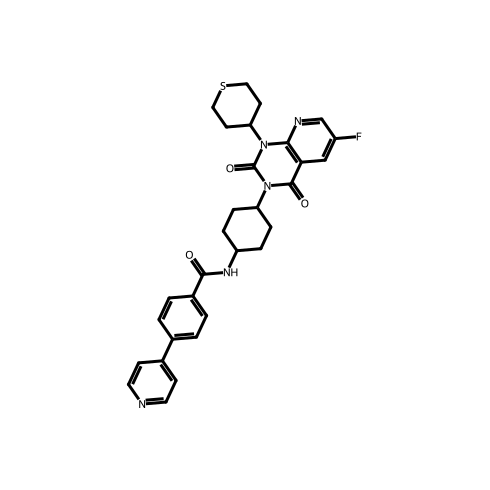 O=C(NC1CCC(n2c(=O)c3cc(F)cnc3n(C3CCSCC3)c2=O)CC1)c1ccc(-c2ccncc2)cc1